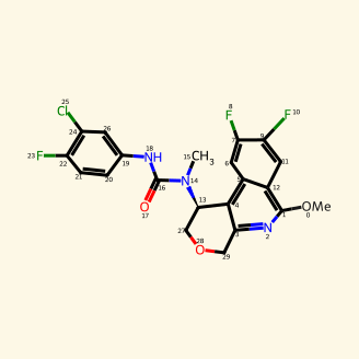 COc1nc2c(c3cc(F)c(F)cc13)[C@H](N(C)C(=O)Nc1ccc(F)c(Cl)c1)COC2